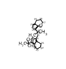 CC(C)(C)c1sc(CC(C)(C)c2scc3c2OCCC3)c2c1CCCC2